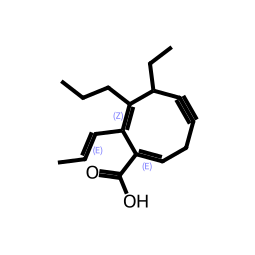 C/C=C/C1=C(\CCC)C(CC)C#CC/C=C\1C(=O)O